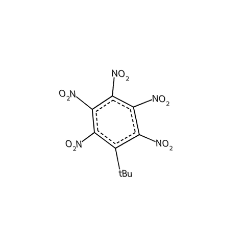 CC(C)(C)c1c([N+](=O)[O-])c([N+](=O)[O-])c([N+](=O)[O-])c([N+](=O)[O-])c1[N+](=O)[O-]